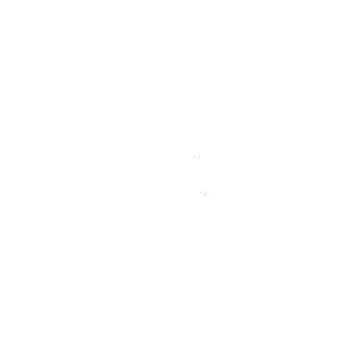 OC1(c2cccc(C(F)(F)F)c2)CCCNC12CCCCC2